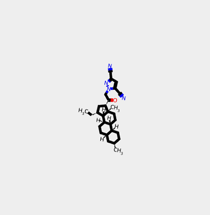 CC[C@@H]1C[C@H](C(=O)Cn2nc(C#N)cc2C#N)[C@@]2(C)CC[C@H]3[C@@H](CC[C@@H]4C[C@@H](C)CC[C@@H]43)[C@H]12